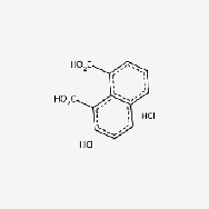 Cl.Cl.O=C(O)c1cccc2cccc(C(=O)O)c12